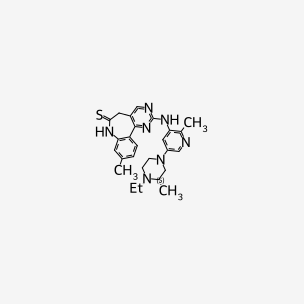 CCN1CCN(c2cnc(C)c(Nc3ncc4c(n3)-c3ccc(C)cc3NC(=S)C4)c2)C[C@@H]1C